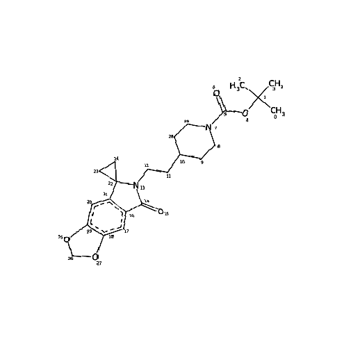 CC(C)(C)OC(=O)N1CCC(CCN2C(=O)c3cc4c(cc3C23CC3)OCO4)CC1